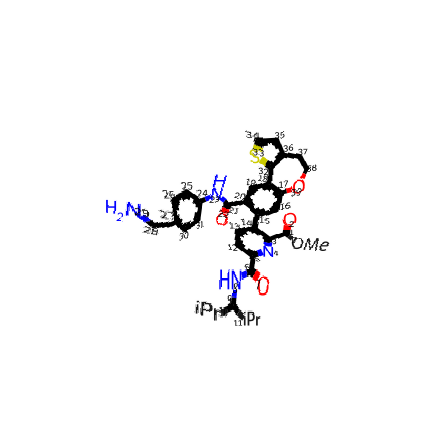 COC(=O)c1nc(C(=O)NC(C(C)C)C(C)C)ccc1-c1cc2c(cc1C(=O)Nc1ccc(CN)cc1)-c1sccc1CCO2